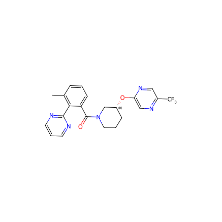 Cc1cccc(C(=O)N2CCC[C@@H](Oc3cnc(C(F)(F)F)cn3)C2)c1-c1ncccn1